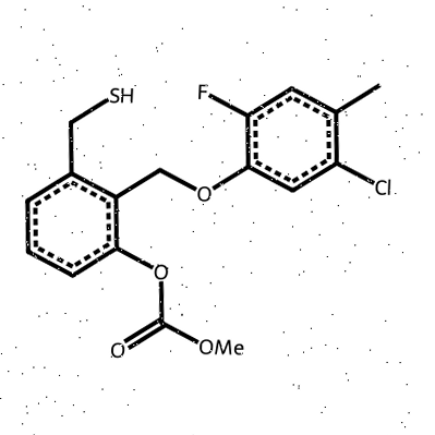 COC(=O)Oc1cccc(CS)c1COc1cc(Cl)c(C)cc1F